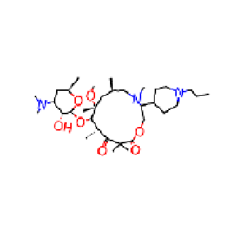 CCCN1CCC(C2COC(=O)C(C)(C)C(=O)[C@H](C)[C@@H](O[C@@H]3O[C@H](C)C[C@H](N(C)C)[C@H]3O)[C@](C)(OC)C[C@@H](C)CN2C)CC1